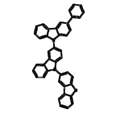 c1ccc(-c2ccc3c(c2)c2ccccc2n3-c2ccc3c(c2)c2ccccc2n3-c2ccc3oc4ccccc4c3c2)cc1